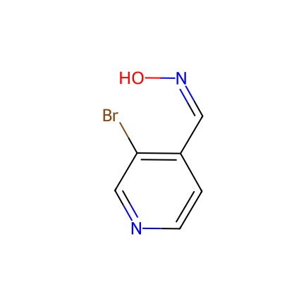 O/N=C\c1ccncc1Br